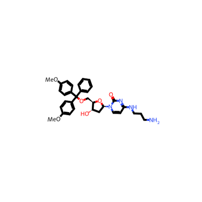 COc1ccc(C(OC[C@H]2O[C@@H](n3ccc(NCCCN)nc3=O)C[C@@H]2O)(c2ccccc2)c2ccc(OC)cc2)cc1